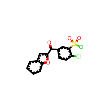 O=C(c1ccc(Cl)c(S(=O)(=O)Cl)c1)c1cc2ccccc2o1